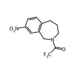 O=C(N1CCCc2ccc([N+](=O)[O-])cc2C1)C(F)(F)F